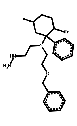 CC1CCC(C(C)C)C(c2ccccc2)(N(CCNN)CCOCc2ccccc2)C1